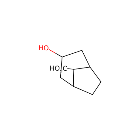 O=C(O)C1C2CCC1CC(O)C2